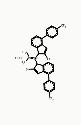 CCC1=Cc2c(-c3ccc(C(F)(F)F)cc3)cccc2[CH]1[Zr+2]([CH]1C(CC)=Cc2c(-c3ccc(C(F)(F)F)cc3)cccc21)=[Sn]([CH3])[CH3].[Cl-].[Cl-]